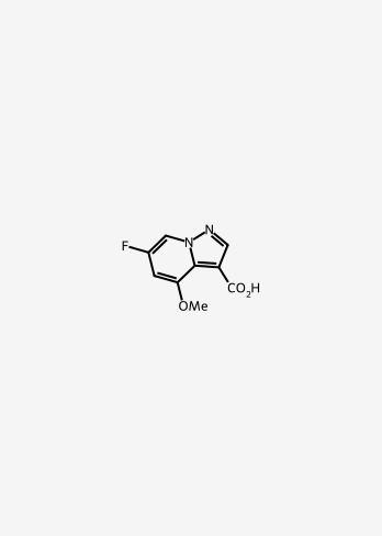 COc1cc(F)cn2ncc(C(=O)O)c12